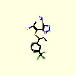 CCC(S/C(=C(/C)N)c1nn[nH]c1C#N)c1cccc(C(F)(F)F)c1